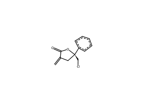 C=C1C[C@@](CCl)(c2ccccc2)OC1=O